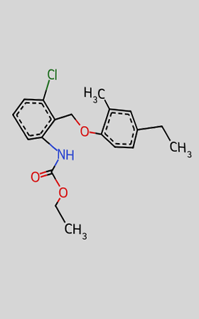 CCOC(=O)Nc1cccc(Cl)c1COc1ccc(CC)cc1C